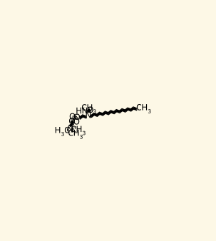 CCCCCCCCCCCCCCCCCCN(CCCOP(=O)([O-])OCC[N+](C)(C)C)C(=O)NC